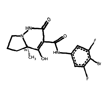 C[C@]12CCCN1NC(=O)C(C(=O)Nc1cc(F)c(Br)c(F)c1)=C2O